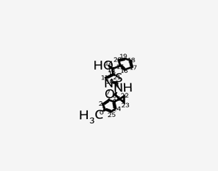 Cc1ccc(C2(C(=O)Nc3ncc(C(O)c4ccccc4)s3)CC2)cc1